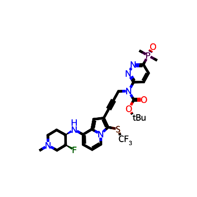 CN1CC[C@@H](Nc2cccn3c(SC(F)(F)F)c(C#CCN(C(=O)OC(C)(C)C)c4ccc(P(C)(C)=O)nn4)cc23)[C@@H](F)C1